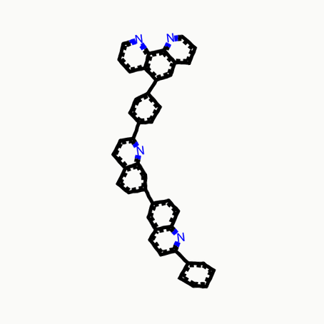 c1ccc(-c2ccc3cc(-c4ccc5ccc(-c6ccc(-c7cc8cccnc8c8ncccc78)cc6)nc5c4)ccc3n2)cc1